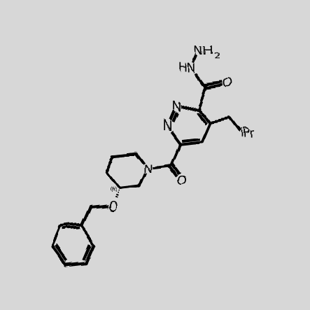 CC(C)Cc1cc(C(=O)N2CCC[C@@H](OCc3ccccc3)C2)nnc1C(=O)NN